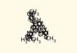 COc1ccc(CN(Cc2ccc(OC)cc2)c2nc(C)nc(-c3cc(CCN4CCN(S(C)(=O)=O)CC4)cnc3Nc3cnc(OC)c(C(C)C)c3)n2)cc1